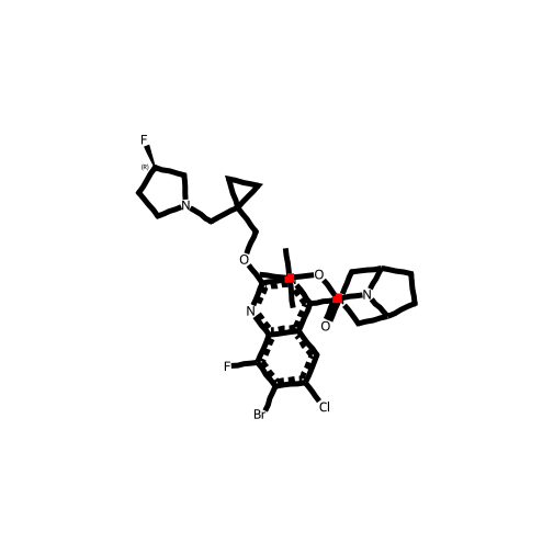 CC(C)(C)OC(=O)N1C2CCC1CN(c1nc(OCC3(CN4CC[C@@H](F)C4)CC3)nc3c(F)c(Br)c(Cl)cc13)C2